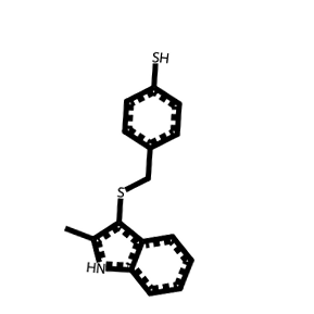 Cc1[nH]c2ccccc2c1SCc1ccc(S)cc1